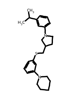 CC(C)c1cccc(N2CCC(CSc3cccc(N4CCCCC4)c3)C2)c1